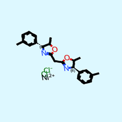 Cc1cccc([C@H]2N=C(CC3=N[C@H](c4cccc(C)c4)C(C)O3)OC2C)c1.[Cl-].[Cl-].[Ni+2]